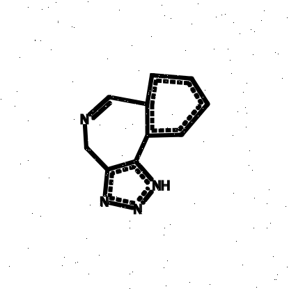 C1=NCc2nn[nH]c2-c2ccccc21